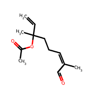 C=CC(C)(CCC=C(C)C=O)OC(C)=O